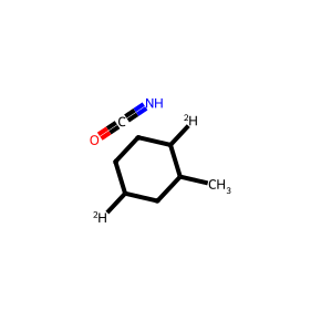 N=C=O.[2H]C1CCC([2H])C(C)C1